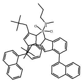 CCC[SiH](C)[Zr]([Cl])([Cl])([CH]1C(CC(C)(C)C)=Cc2c(-c3cccc4ccccc34)cccc21)[CH]1C(CC(C)(C)C)=Cc2c(-c3cccc4ccccc34)cccc21